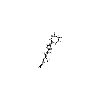 N#CN1CCC(C(=O)Nc2ncc(N3CCNC(=O)CC3)s2)C1